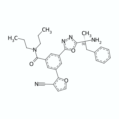 CCCN(CCC)C(=O)c1cc(-c2nnc([C@@](C)(N)Cc3ccccc3)o2)cc(-c2occc2C#N)c1